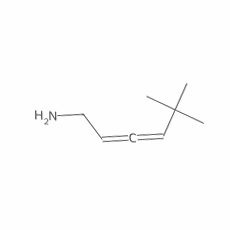 CC(C)(C)C=C=CCN